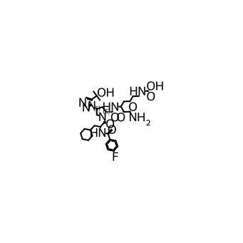 CC(C)(O)c1cnnn1[C@H]1C[C@@H](C(=O)NC(CCCCNC(=O)O)C(=O)C(N)=O)N(C(=O)C(CC2CCCCC2)NC(=O)c2ccc(F)cc2)C1